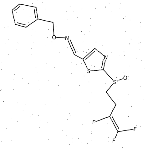 [O-][S+](CCC(F)=C(F)F)c1ncc(/C=N/OCc2ccccc2)s1